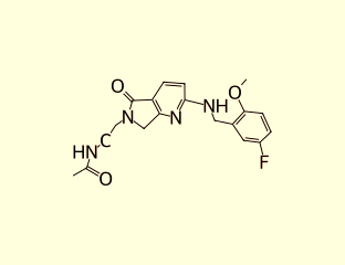 COc1ccc(F)cc1CNc1ccc2c(n1)CN(CCNC(C)=O)C2=O